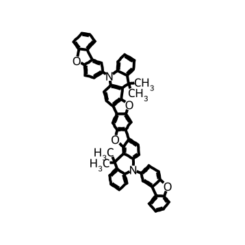 CC1(C)c2ccccc2N(c2ccc3oc4ccccc4c3c2)c2ccc3c(oc4cc5c(cc43)oc3c4c(ccc35)N(c3ccc5oc6ccccc6c5c3)c3ccccc3C4(C)C)c21